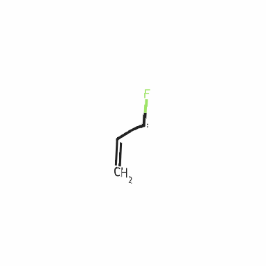 C=C[C]F